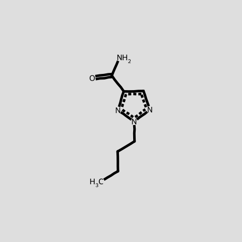 CCCCn1ncc(C(N)=O)n1